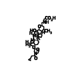 C[C@@H]1CC(CNCC(=O)O)OC2[C@H]1[C@@]1(C)CC[C@@]34C[C@@]35CC[C@H](O[C@H]3CN(C(=O)CC6CC6)CCO3)C(C)(C)[C@@H]5CCC4[C@]1(C)[C@H]2O